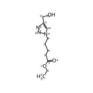 CCOC(=O)CCCCn1cc(CO)nn1